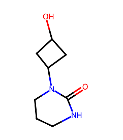 O=C1NCCCN1C1CC(O)C1